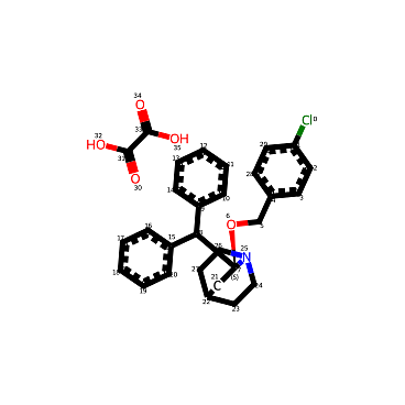 Clc1ccc(CO[C@]2(C(c3ccccc3)c3ccccc3)CC3CCN2CC3)cc1.O=C(O)C(=O)O